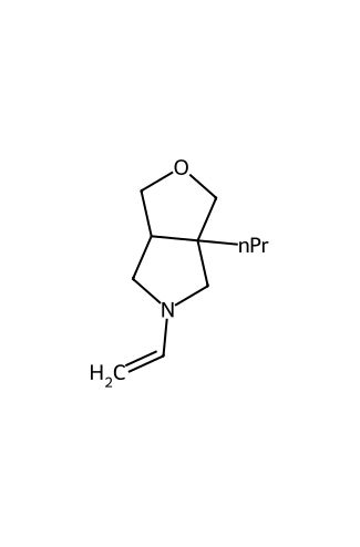 C=CN1CC2COCC2(CCC)C1